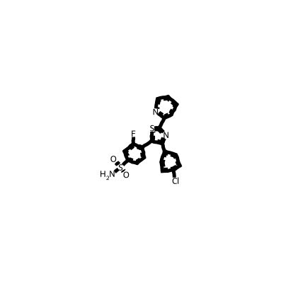 NS(=O)(=O)c1ccc(-c2sc(-c3ccccn3)nc2-c2ccc(Cl)cc2)c(F)c1